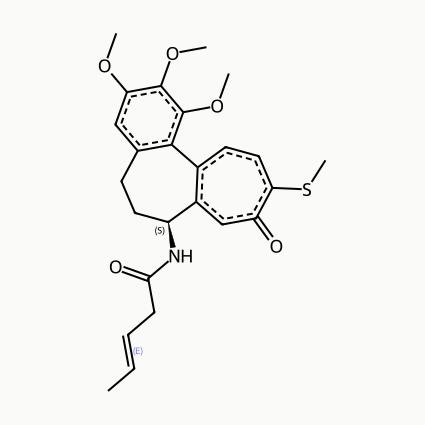 C/C=C/CC(=O)N[C@H]1CCc2cc(OC)c(OC)c(OC)c2-c2ccc(SC)c(=O)cc21